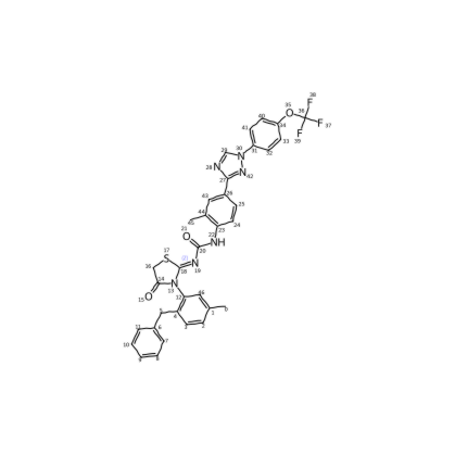 Cc1ccc(Cc2ccccc2)c(N2C(=O)CS/C2=N\C(=O)Nc2ccc(-c3ncn(-c4ccc(OC(F)(F)F)cc4)n3)cc2C)c1